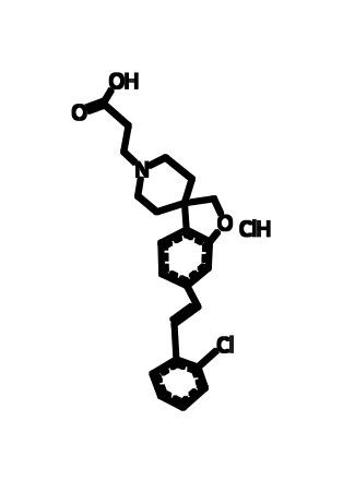 Cl.O=C(O)CCN1CCC2(CC1)COc1cc(C=Cc3ccccc3Cl)ccc12